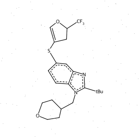 CC(C)(C)c1nc2cc(SC3=COC(C(F)(F)F)C3)ccc2n1CC1CCOCC1